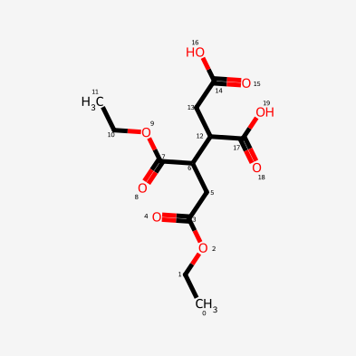 CCOC(=O)CC(C(=O)OCC)C(CC(=O)O)C(=O)O